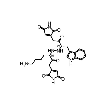 NCCCC[C@H](NN[C@@H](Cc1c[nH]c2ccccc12)C(=O)CC1=CC(=O)NC1=O)C(=O)CC1=CC(=O)NC1=O